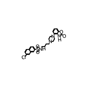 O=c1[nH]c2c(N3CCN(CCCCNS(=O)(=O)c4ccc5ccc(Cl)cc5c4)CC3)cccc2o1